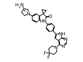 N[C@@H]1CCN(c2cccc(C3(C(=O)Nc4ccc(-c5cc6c(N7CCC(F)(F)CC7)ncnc6[nH]5)cc4)CC3)c2)C1